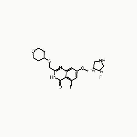 O=c1[nH]c(CSC2CCOCC2)nc2cc(OC[C@@H]3CNC[C@@H]3F)cc(F)c12